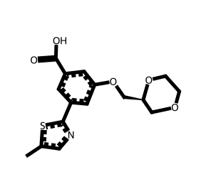 Cc1cnc(-c2cc(OC[C@@H]3COCCO3)cc(C(=O)O)c2)s1